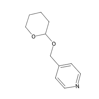 c1cc(COC2CCCCO2)ccn1